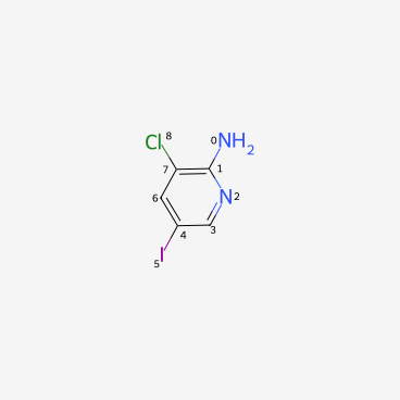 Nc1ncc(I)cc1Cl